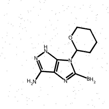 Bc1nc2c(N)n[nH]c2n1C1CCCCO1